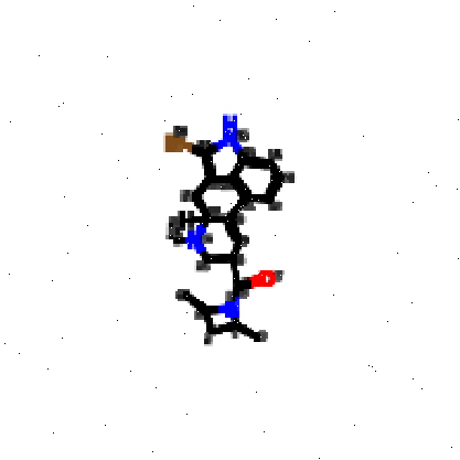 CC1CC(C)N1C(=O)[C@@H]1C=C2c3cccc4[nH]c(Br)c(c34)C[C@H]2N(C)C1